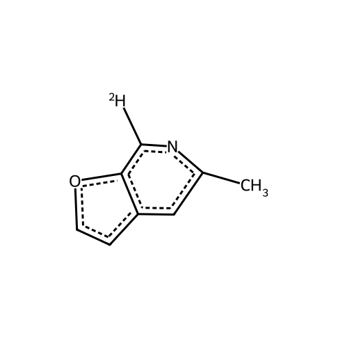 [2H]c1nc(C)cc2ccoc12